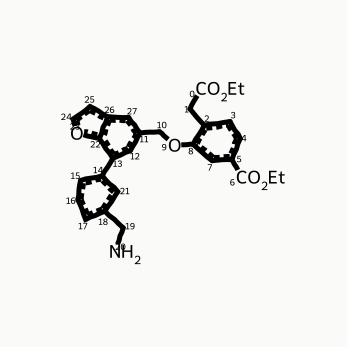 CCOC(=O)Cc1ccc(C(=O)OCC)cc1OCc1cc(-c2cccc(CN)c2)c2occc2c1